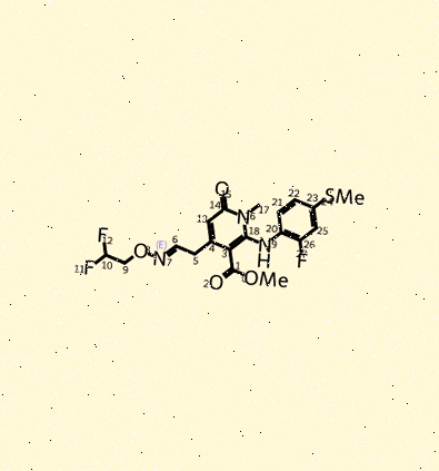 COC(=O)c1c(C/C=N/OCC(F)F)cc(=O)n(C)c1Nc1ccc(SC)cc1F